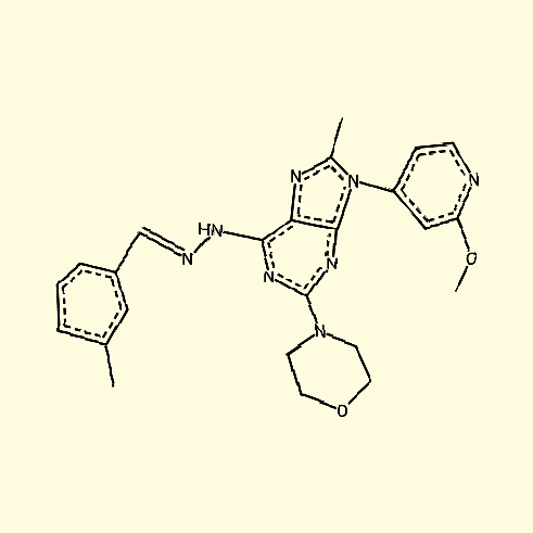 COc1cc(-n2c(C)nc3c(N/N=C/c4cccc(C)c4)nc(N4CCOCC4)nc32)ccn1